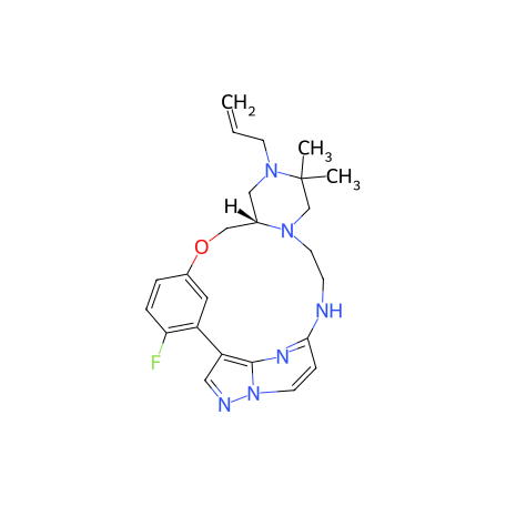 C=CCN1C[C@H]2COc3ccc(F)c(c3)-c3cnn4ccc(nc34)NCCN2CC1(C)C